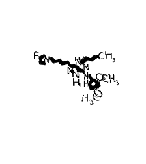 CCCCc1nc(NCc2ccc(OC)cc2OC)c2[nH]nc(CCCCCN3CC[C@@H](F)C3)c2n1